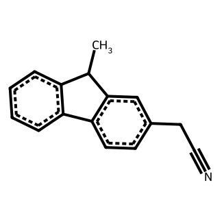 CC1c2ccccc2-c2ccc(CC#N)cc21